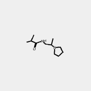 CC(C)C(=O)NCC(C)N1CCCC1